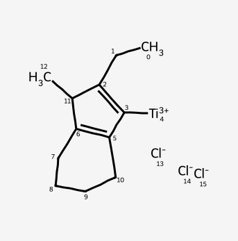 CCC1=[C]([Ti+3])C2=C(CCCC2)C1C.[Cl-].[Cl-].[Cl-]